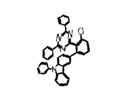 Clc1cccc(-c2ccc3c(c2)c2ccccc2n3-c2ccccc2)c1-c1nc(-c2ccccc2)nc(-c2ccccc2)n1